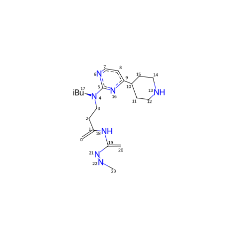 C=C(CCN(c1nccc(C2CCNCC2)n1)[C@H](C)CC)NC(=C)/N=N\C